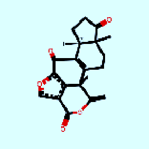 C=C1OC(=O)c2coc3c2C1(C)C1=C(C3=O)[C@@H]2CCC(=O)C2(C)CC1